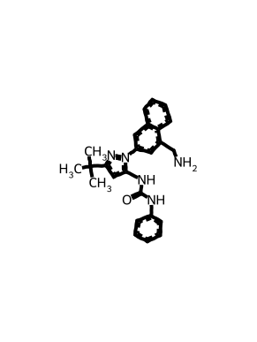 CC(C)(C)c1cc(NC(=O)Nc2ccccc2)n(-c2cc(CN)c3ccccc3c2)n1